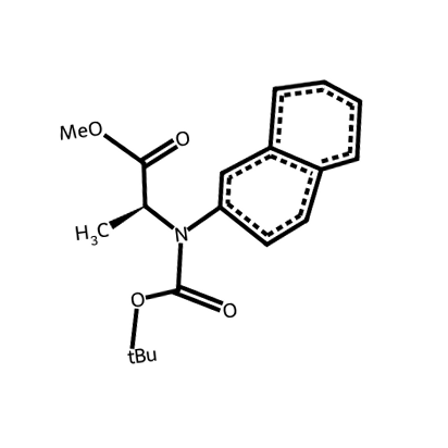 COC(=O)[C@H](C)N(C(=O)OC(C)(C)C)c1ccc2ccccc2c1